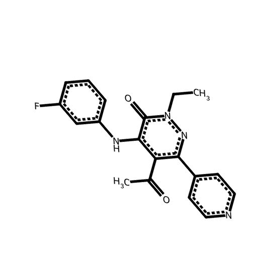 CCn1nc(-c2ccncc2)c(C(C)=O)c(Nc2cccc(F)c2)c1=O